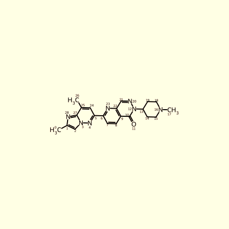 Cc1cn2nc(-c3ccc4c(=O)n(C5CCN(C)CC5)ncc4n3)cc(C)c2n1